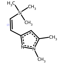 Cc1cc(/C=C\[Si](C)(C)C)nn1C